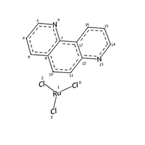 [Cl][Ru]([Cl])[Cl].c1cnc2c(c1)ccc1ncccc12